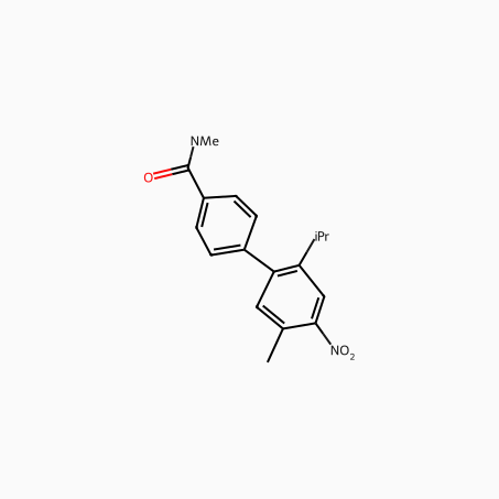 CNC(=O)c1ccc(-c2cc(C)c([N+](=O)[O-])cc2C(C)C)cc1